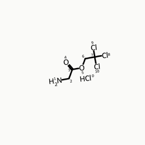 Cl.NCC(=O)OCC(Cl)(Cl)Cl